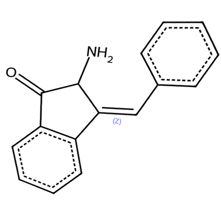 NC1C(=O)c2ccccc2/C1=C/c1ccccc1